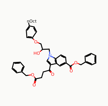 CCCCCCCCc1ccc(OCC(O)Cn2cc(C(=O)CCC(=O)OCc3ccccc3)c3cc(C(=O)OCc4ccccc4)ccc32)cc1